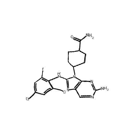 NC(=O)C1CCC(n2c(Nc3c(F)cc(Cl)cc3Cl)nc3cnc(N)nc32)CC1